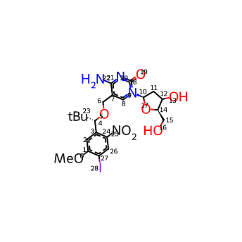 COc1cc([C@@H](OCc2cn([C@H]3CC(O)[C@@H](CO)O3)c(=O)nc2N)C(C)(C)C)c([N+](=O)[O-])cc1I